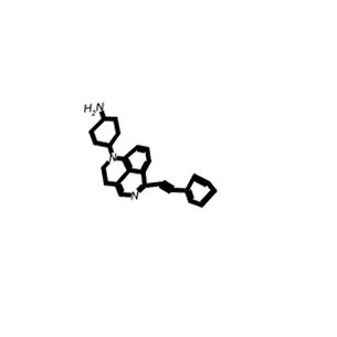 NC1CCC(N2CCc3cnc(C#Cc4ccccc4)c4cccc2c34)CC1